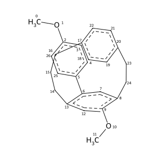 COc1ccc(-c2cc3c(OC)cc2CCCc2ccc(cc2)CC3)cc1